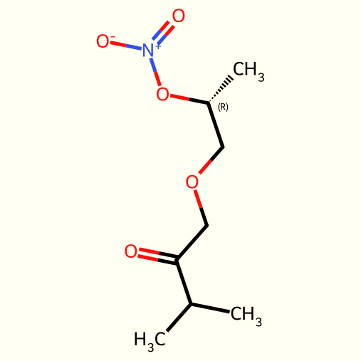 CC(C)C(=O)COC[C@@H](C)O[N+](=O)[O-]